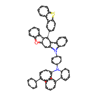 c1ccc(-c2ccc(N(c3ccc(-n4c5ccccc5c5c(-c6ccc7sc8ccccc8c7c6)c6c(cc54)oc4ccccc46)cc3)c3ccccc3-c3ccccc3)cc2)cc1